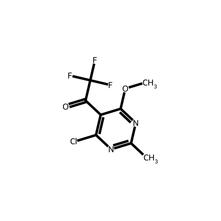 COc1nc(C)nc(Cl)c1C(=O)C(F)(F)F